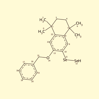 CC1(C)CCC(C)(C)c2cc([Se][SeH])c(OCc3ccccc3)cc21